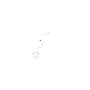 CC(C)(C)OC(=O)NCCc1ccc(NC(=O)c2cnc(Cl)cc2Cl)cc1